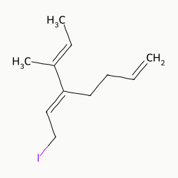 C=CCCC(=C\CI)/C(C)=C/C